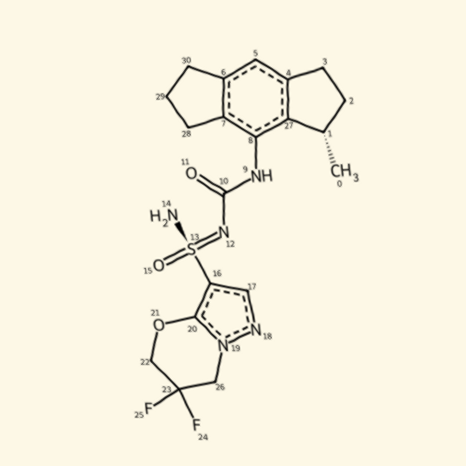 C[C@H]1CCc2cc3c(c(NC(=O)N=[S@@](N)(=O)c4cnn5c4OCC(F)(F)C5)c21)CCC3